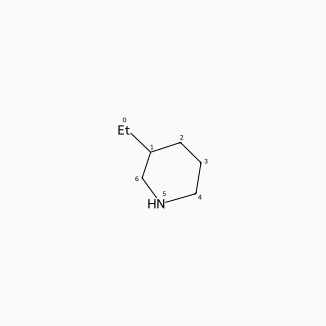 CCC1CCCNC1